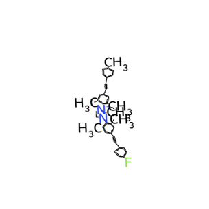 CC1=[N+](c2c(C)cc(C#Cc3ccc(C)cc3)cc2C)CCN1c1c(C)cc(C#Cc2ccc(F)cc2)cc1C